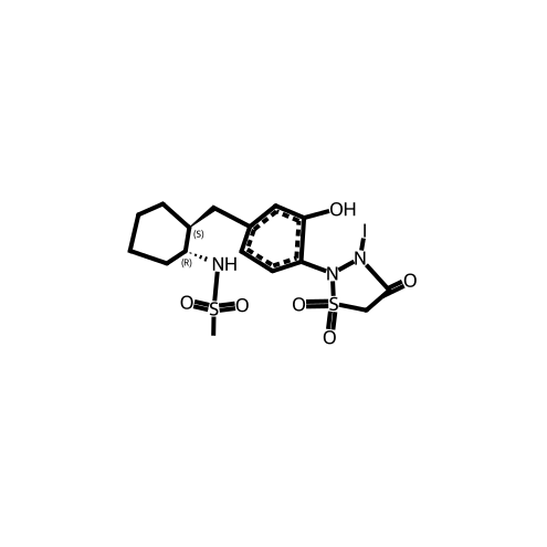 CS(=O)(=O)N[C@@H]1CCCC[C@H]1Cc1ccc(N2N(I)C(=O)CS2(=O)=O)c(O)c1